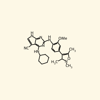 COc1cc(C2=C(C)ON(C)C2C)ccc1Nc1nc(NC2CCCCC2)c2c(C#N)c[nH]c2n1